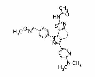 CO/N=C/c1ccc(-n2nc(-c3ccc(N(C)C)nc3)c3c2-c2sc(NC(C)=O)nc2CC3)cc1